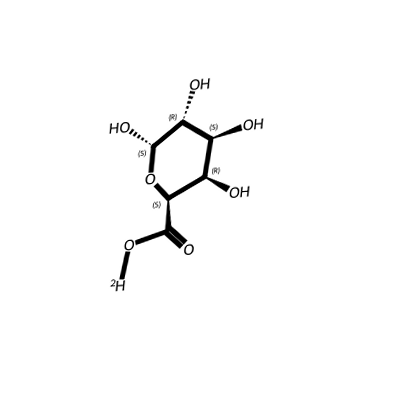 [2H]OC(=O)[C@H]1O[C@H](O)[C@H](O)[C@@H](O)[C@H]1O